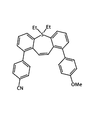 CCS1(CC)c2cccc(-c3ccc(C#N)cc3)c2C=Cc2c(-c3ccc(OC)cc3)cccc21